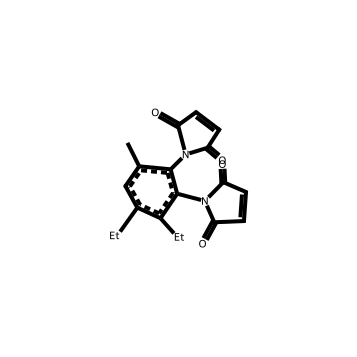 CCc1cc(C)c(N2C(=O)C=CC2=O)c(N2C(=O)C=CC2=O)c1CC